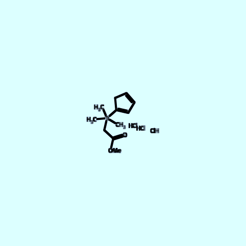 COC(=O)[CH2][Ti]([CH3])([CH3])([CH3])[C]1=CC=CC1.Cl.Cl.Cl